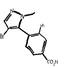 CCCc1cc(C(=O)O)ccc1-c1c(Br)cnn1C